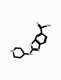 O=C(O)c1ccc2nc(NC3CCNCC3)sc2c1